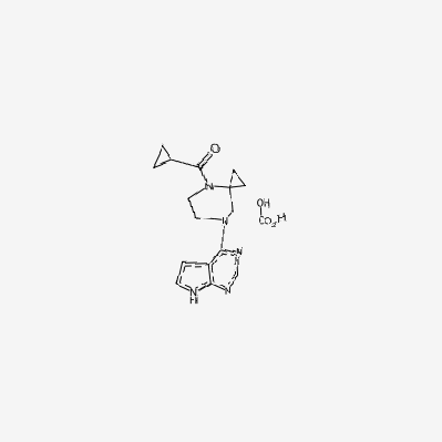 O=C(C1CC1)N1CCN(c2ncnc3[nH]ccc23)CC12CC2.O=C(O)O